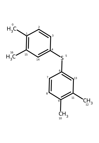 Cc1ccc(Sc2ccc(C)c(C)c2)cc1C